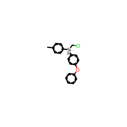 Cc1ccc([SiH](CCl)c2ccc(Oc3ccccc3)cc2)cc1